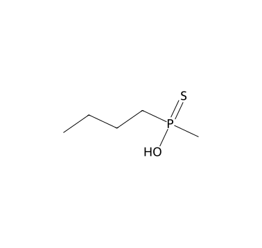 CCCCP(C)(O)=S